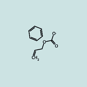 C=CCOC([O])=O.c1ccccc1